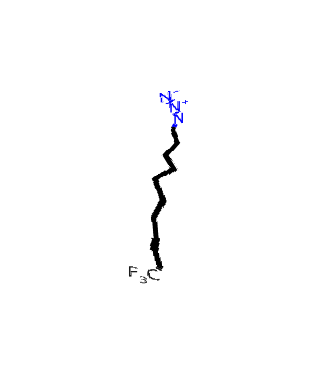 [N-]=[N+]=NCCCCCCC/C=C/CC(F)(F)F